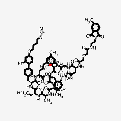 CCc1cc(OCCCCN=[N+]=[N-])ccc1-c1ccc(C[C@H](NC(=O)[C@H](CC(=O)O)NC(=O)[C@H](C)NC(=O)[C@@H](NC(=O)[C@](C)(Cc2ccccc2F)NC(=O)[C@@H](NC(=O)CNC(=O)[C@H](Cc2nn[nH]n2)NC(=O)CSCC(=O)NCCN2C(=O)c3ccc(C)cc3C2=O)[C@@H](C)O)[C@@H](C)O)C(=O)N[C@@H](CCCc2cc(C)cc(C)c2)C(N)=O)cc1